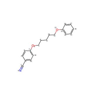 N#Cc1ccc(OCCCCCOc2ccccc2)cc1